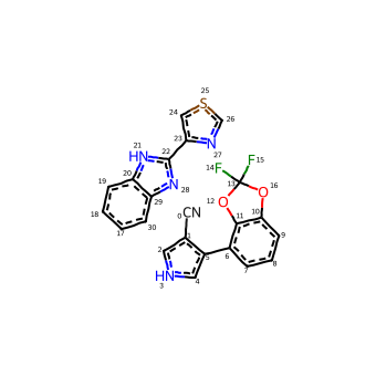 N#Cc1c[nH]cc1-c1cccc2c1OC(F)(F)O2.c1ccc2[nH]c(-c3cscn3)nc2c1